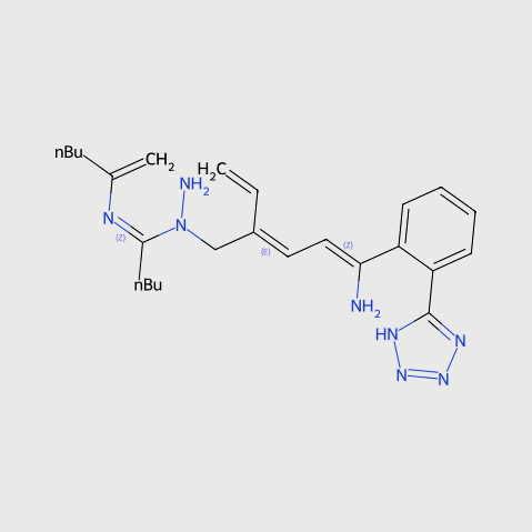 C=C/C(=C\C=C(/N)c1ccccc1-c1nnn[nH]1)CN(N)/C(CCCC)=N\C(=C)CCCC